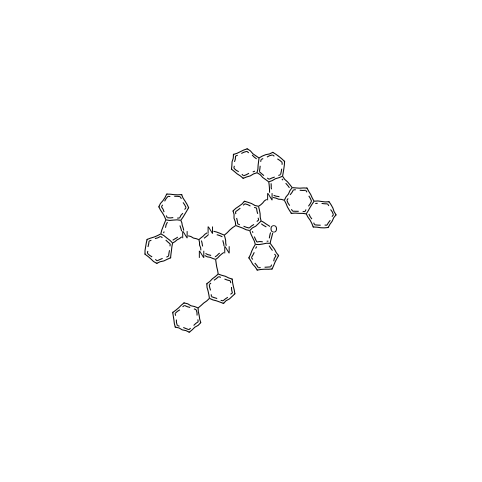 c1ccc(-c2cccc(-c3nc(-c4ccc(-n5c6cc7ccccc7cc6c6ccc7ccccc7c65)c5oc6ccccc6c45)nc(-n4c5ccccc5c5ccccc54)n3)c2)cc1